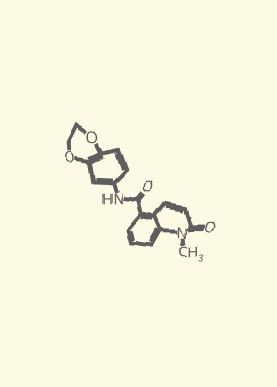 Cn1c(=O)ccc2c(C(=O)Nc3ccc4c(c3)OCCO4)cccc21